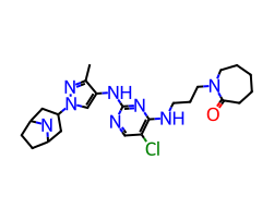 Cc1nn(C2CC3CCC(C2)N3C)cc1Nc1ncc(Cl)c(NCCCN2CCCCCC2=O)n1